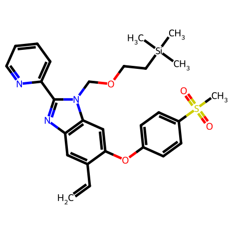 C=Cc1cc2nc(-c3ccccn3)n(COCC[Si](C)(C)C)c2cc1Oc1ccc(S(C)(=O)=O)cc1